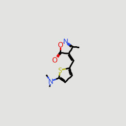 CC1=NOC(=O)/C1=C\c1ccc(N(C)C)s1